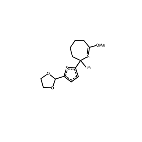 CCCC1(c2ccc(C3OCCO3)s2)CCCCC(OC)=N1